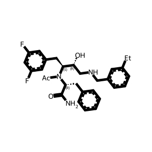 CCc1cccc(CNC[C@@H](O)[C@H](Cc2cc(F)cc(F)c2)N(C(C)=O)[C@H](Cc2ccccc2)C(N)=O)c1